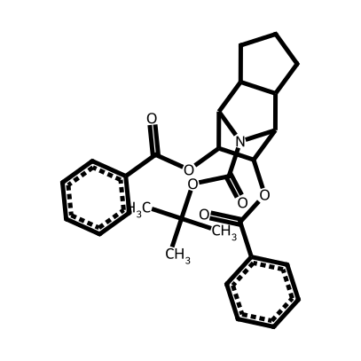 CC(C)(C)OC(=O)N1C2C3CCCC3C1C(OC(=O)c1ccccc1)C2OC(=O)c1ccccc1